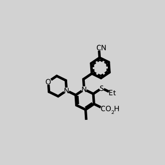 CCSC1C(C(=O)O)=C(C)C=C(N2CCOCC2)N1Cc1cccc(C#N)c1